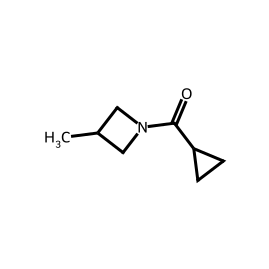 CC1CN(C(=O)C2CC2)C1